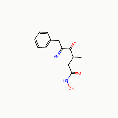 CC(CC(=O)NO)C(=O)C(=N)Cc1ccccc1